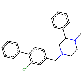 CN1CCN(Cc2ccc(-c3ccccc3)c(Cl)c2)CC1c1ccccc1